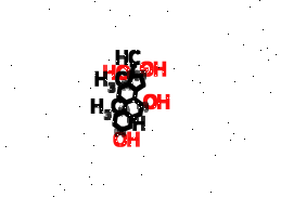 C#C[C@@]1(O)[C@@H](O)CC2C3C(CC[C@@]21C)[C@@]1(C)CC[C@H](O)C[C@H]1C[C@@H]3O